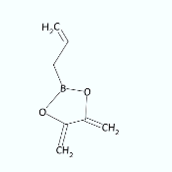 C=CCB1OC(=C)C(=C)O1